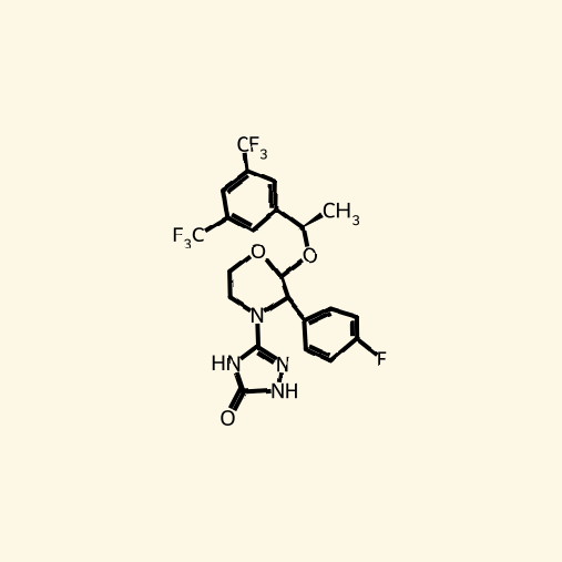 C[C@@H](OC1OCCN(c2n[nH]c(=O)[nH]2)C1c1ccc(F)cc1)c1cc(C(F)(F)F)cc(C(F)(F)F)c1